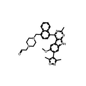 COc1cc2c(cc1-c1c(C)noc1C)[nH]c1nc(C)nc(-c3ccc(CN4CCN(CC=O)CC4)c4ccccc34)c12